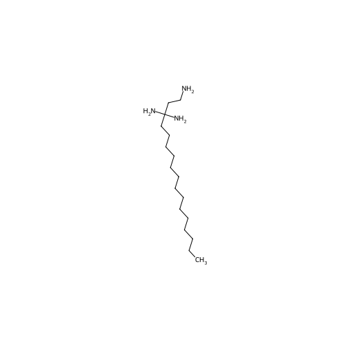 CCCCCCCCCCCCCCC(N)(N)CCN